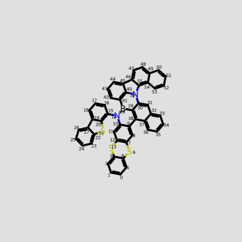 c1ccc2c(c1)Sc1cc3c(cc1S2)N(c1cccc2c1sc1ccccc12)B1c2c(cc4ccccc4c2-3)-n2c3c1cccc3c1ccc3ccccc3c12